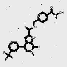 Cn1cc(-c2cccc(C(F)(F)F)c2)c2cc(C(=O)NCc3ccc(C(=O)NO)cc3)[nH]c2c1=O